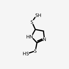 SSC1=NCC(SS)N1